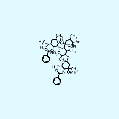 CO[C@](C)(C[C@@H](C)[C@H](O)C(C)=O)[C@H](O[C@@H]1O[C@H](C)C[C@H](N(C)C)[C@H]1OC(=O)c1ccccc1)[C@@H](C)[C@H](O[C@H]1C[C@@](C)(OC)[C@@H](OC(=O)c2ccccc2)[C@H](C)O1)[C@@H](C)C(=O)O